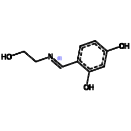 OCC/N=C/c1ccc(O)cc1O